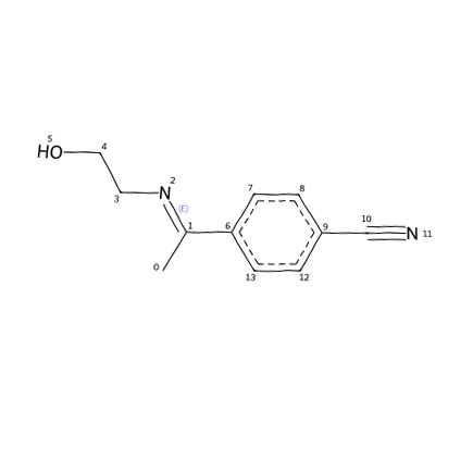 C/C(=N\CCO)c1ccc(C#N)cc1